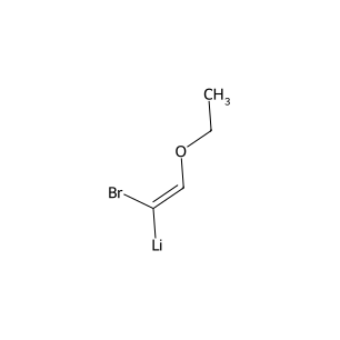 [Li][C](Br)=COCC